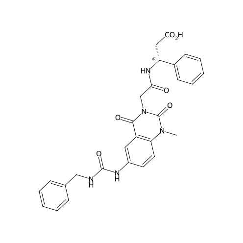 Cn1c(=O)n(CC(=O)N[C@H](CC(=O)O)c2ccccc2)c(=O)c2cc(NC(=O)NCc3ccccc3)ccc21